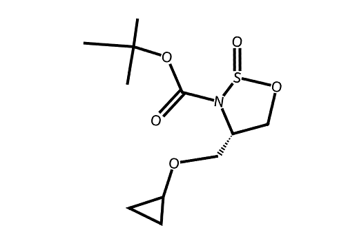 CC(C)(C)OC(=O)N1[C@@H](COC2CC2)COS1=O